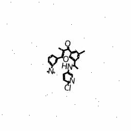 Cc1cc(C(C)Nc2ccc(Cl)nc2)c2oc(-c3cccc(N(C)C)c3)c(C)c(=O)c2c1